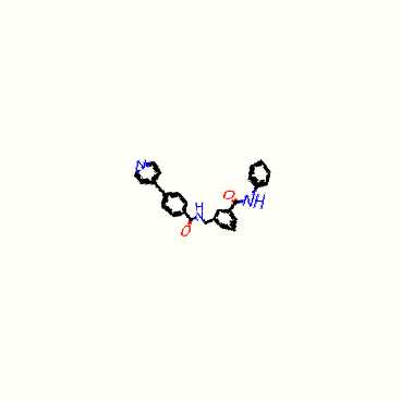 O=C(NCc1cccc(C(=O)Nc2ccccc2)c1)c1ccc(-c2ccncc2)cc1